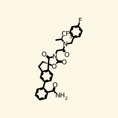 C[C@H](N(Cc1ccc(F)cc1)C(=O)CN1C(=O)O[C@@]2(CCc3cc(-c4ccccc4C(N)=O)ccc32)C1=O)C(F)(F)F